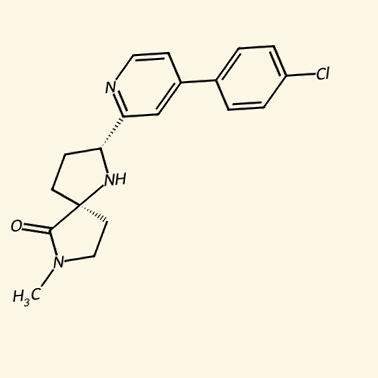 CN1CC[C@@]2(CC[C@H](c3cc(-c4ccc(Cl)cc4)ccn3)N2)C1=O